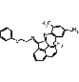 Cc1cc(C)c(/N=C2/C(=N/CCSc3ccccc3)c3cccc4cccc2c34)c(C)c1